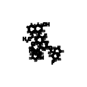 CCc1cccc2cc(O)cc(-c3nc4c5c(nc(OC[C@@]67CCCN6C[C@H](F)C7)nc5c3F)N3C[C@@H]5CCC(N5)[C@@H]3CO4)c12